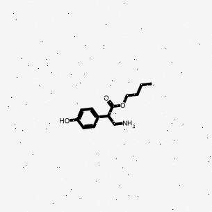 CCCCOC(=O)C(CN)c1ccc(O)cc1